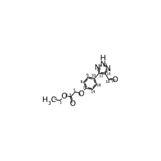 CCOC(=O)COc1ccc(-c2n[nH]nc2C=O)cc1